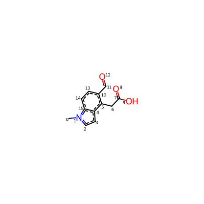 Cn1ccc2c(CC(=O)O)c(C=O)ccc21